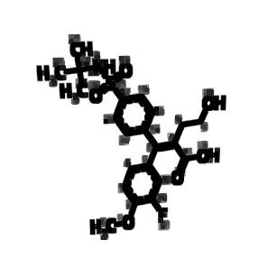 COc1ccc(/C(=C(/CCO)C(=O)O)c2ccc(S(=O)(=O)NC(C)(C)C)cc2)cc1F